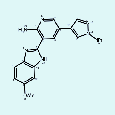 COc1ccc2nc(-c3cc(-c4cnn(C(C)C)c4)cnc3N)[nH]c2c1